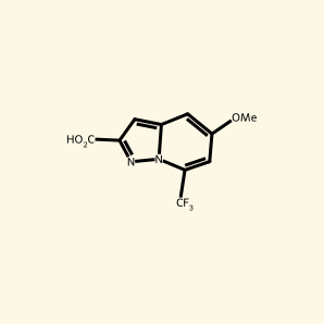 COc1cc(C(F)(F)F)n2nc(C(=O)O)cc2c1